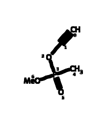 C#COP(C)(=O)OC